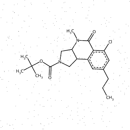 CCCc1cc(Cl)c2c(c1)C1CN(C(=O)OC(C)(C)C)CC1N(C)C2=O